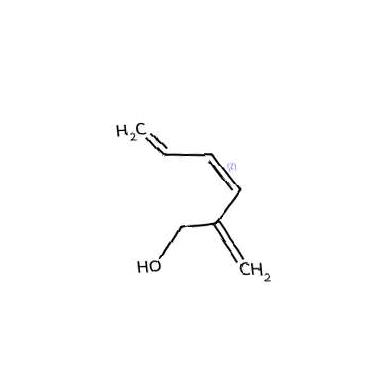 C=C/C=C\C(=C)CO